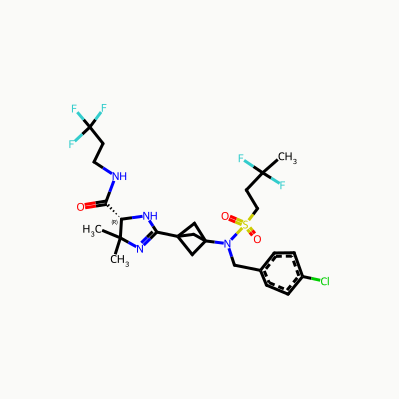 CC(F)(F)CCS(=O)(=O)N(Cc1ccc(Cl)cc1)C12CC(C3=NC(C)(C)[C@H](C(=O)NCCC(F)(F)F)N3)(C1)C2